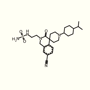 CC(C)C1CCC(N2CCC3(CC2)C(=O)N(CCNS(N)(=O)=O)Cc2cc(C#N)ccc23)CC1